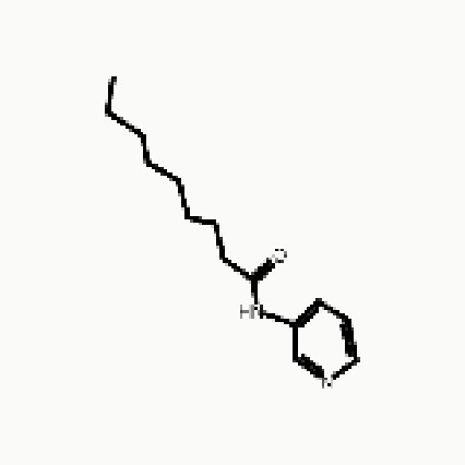 CCCCCCCCC(=O)Nc1cccnc1